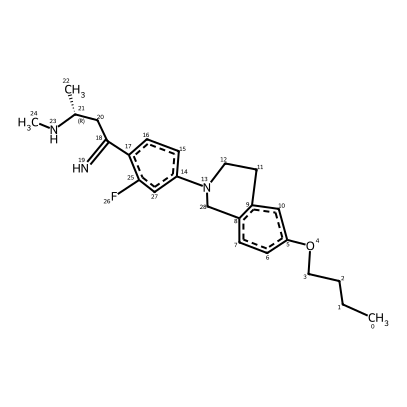 CCCCOc1ccc2c(c1)CCN(c1ccc(C(=N)C[C@@H](C)NC)c(F)c1)C2